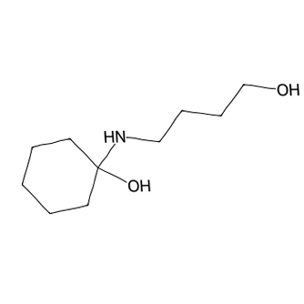 OCCCCNC1(O)CCCCC1